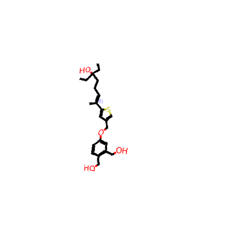 CCC(O)(CC)CC/C=C(\C)c1cc(COc2ccc(CO)c(CO)c2)cs1